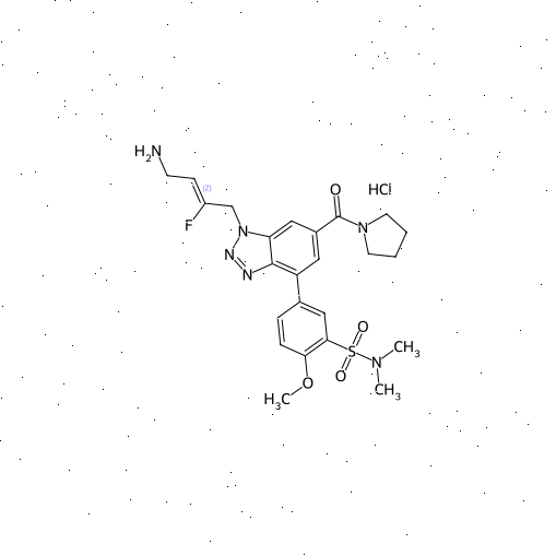 COc1ccc(-c2cc(C(=O)N3CCCC3)cc3c2nnn3C/C(F)=C/CN)cc1S(=O)(=O)N(C)C.Cl